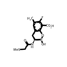 CSCC(=O)N[C@H]1Cc2cc(C)c(F)c(C(=O)O)c2OB1O